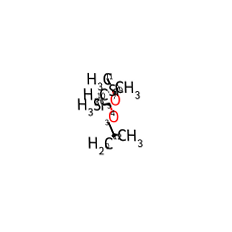 C=C(C)COC([SiH3])O[Si](C)(C)C